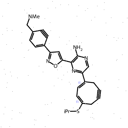 CNCc1c#cc(-c2cc(-c3nc(/C4=C/C=C(/SC(C)C)CC#CC4)cnc3N)on2)cc1